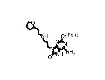 CCC[C@H](C)Oc1nc(N)c2[nH]c(=O)n(CCCNCCC3CCCO3)c2n1